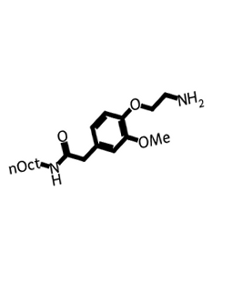 CCCCCCCCNC(=O)Cc1ccc(OCCN)c(OC)c1